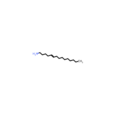 CCCCCCCCCC=CCCCCN